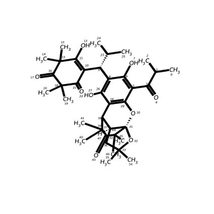 CC(C)C(=O)c1c(O)c([C@H](C2=C(O)C(C)(C)C(=O)C(C)(C)C2=O)C(C)C)c(O)c2c1O[C@@]13OC(C)(C)C[C@H]1C2C(C)(C)C(=O)C3(C)C